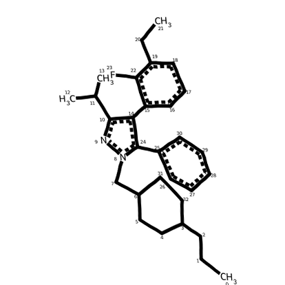 CCCC1CCC(Cn2nc(C(C)C)c(-c3cccc(CC)c3F)c2-c2ccccc2)CC1